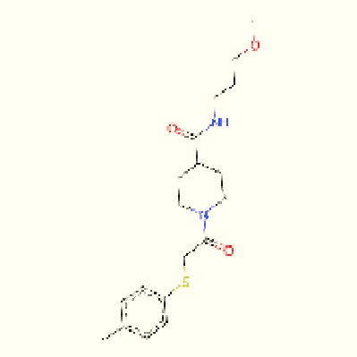 COCCCNC(=O)C1CCN(C(=O)CSc2ccc(C)cc2)CC1